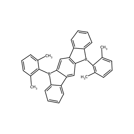 Cc1cccc(C)c1B1c2ccccc2-c2cc3c(cc21)-c1ccccc1B3c1c(C)cccc1C